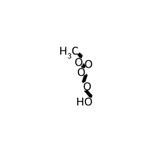 CCOC(=O)OCCOCCO